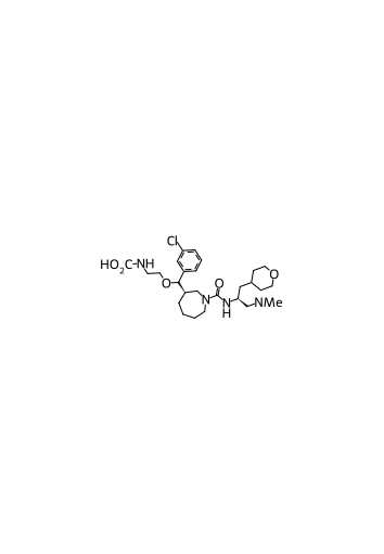 CNC[C@H](CC1CCOCC1)NC(=O)N1CCCC[C@@H](C(OCCNC(=O)O)c2cccc(Cl)c2)C1